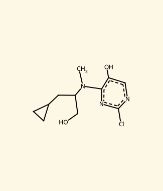 CN(c1nc(Cl)ncc1O)C(CO)CC1CC1